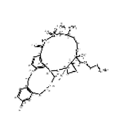 COCCOC[C@@]1(O)CCC[C@H](C)[C@@H](C)S(=O)(=O)NC(=O)c2ccc3c(c2)N(CCCCc2cc(Cl)ccc2CO3)C[C@@H]2CC[C@H]21